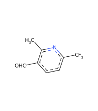 Cc1nc(C(F)(F)F)ccc1C=O